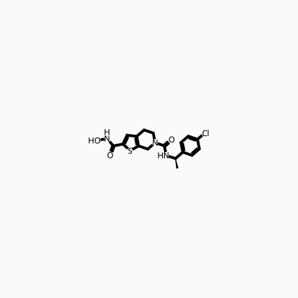 C[C@@H](NC(=O)N1CCc2cc(C(=O)NO)sc2C1)c1ccc(Cl)cc1